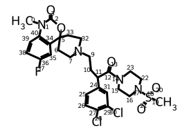 CN1C(=O)OC2(CCN(CCC(C(=O)N3CCN(S(C)(=O)=O)CC3)c3ccc(Cl)c(Cl)c3)CC2)c2cc(F)ccc21